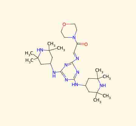 CC1(C)CC(Nc2nc(/N=C/C(=O)N3CCOCC3)nc(NC3CC(C)(C)NC(C)(C)C3)n2)CC(C)(C)N1